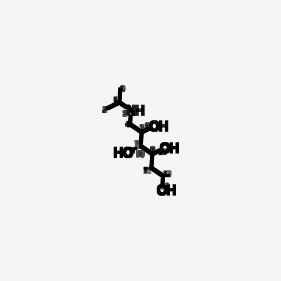 CC(C)NCC(O)[C@@H](O)C(O)CCO